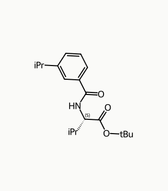 CC(C)c1cccc(C(=O)N[C@H](C(=O)OC(C)(C)C)C(C)C)c1